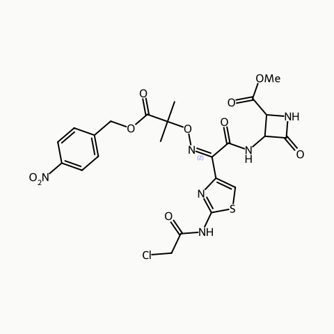 COC(=O)C1NC(=O)C1NC(=O)/C(=N\OC(C)(C)C(=O)OCc1ccc([N+](=O)[O-])cc1)c1csc(NC(=O)CCl)n1